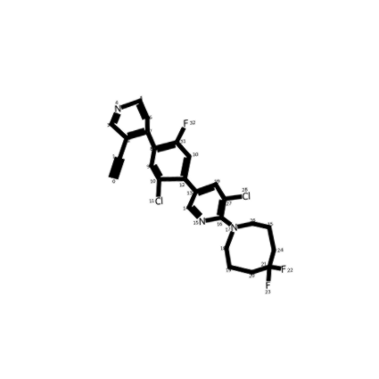 C#Cc1cnccc1-c1cc(Cl)c(-c2cnc(N3CCCC(F)(F)CCC3)c(Cl)c2)cc1F